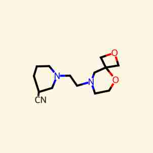 N#CC1CCCN(CCN2CCOC3(COC3)C2)C1